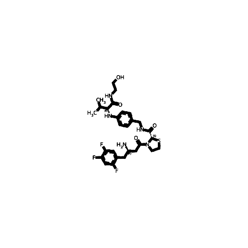 CC(C)[C@@H](Nc1ccc(CNC(=O)[C@@H]2SCCN2C(=O)C[C@H](N)Cc2cc(F)c(F)cc2F)cc1)C(=O)NCCO